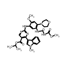 COC(=O)NC(=O)Nc1cc(Nc2ncc(C(=O)OC(C)C)c(-c3cn(C)c4ccccc34)n2)c(OC)cc1N1CCOCC1